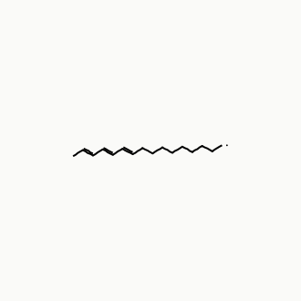 [CH2]CCCCCCCC/C=C/C=C/C=C/C